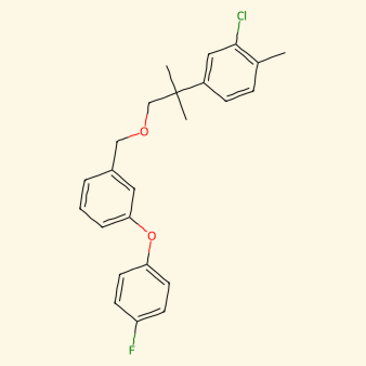 Cc1ccc(C(C)(C)COCc2cccc(Oc3ccc(F)cc3)c2)cc1Cl